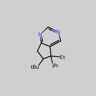 CCC1(C(C)C)c2cncnc2CC1C(C)(C)C